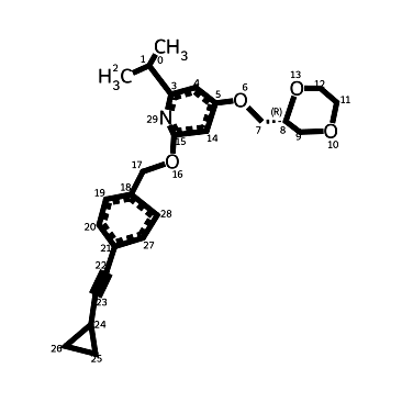 CC(C)c1cc(OC[C@H]2COCCO2)cc(OCc2ccc(C#CC3CC3)cc2)n1